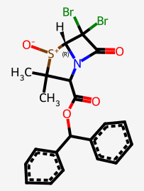 CC1(C)C(C(=O)OC(c2ccccc2)c2ccccc2)N2C(=O)C(Br)(Br)[C@H]2[S+]1[O-]